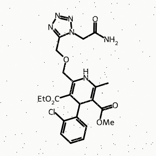 CCOC(=O)C1=C(COCc2nnnn2CC(N)=O)NC(C)=C(C(=O)OC)C1c1ccccc1Cl